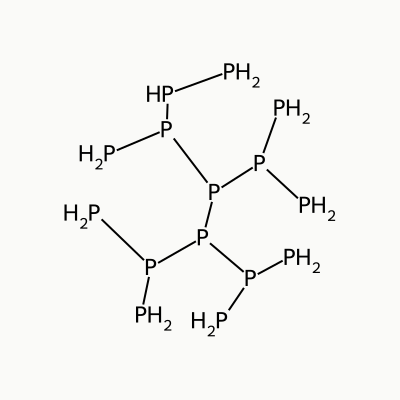 PPP(P)P(P(P)P)P(P(P)P)P(P)P